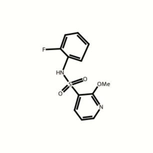 COc1ncccc1S(=O)(=O)Nc1ccccc1F